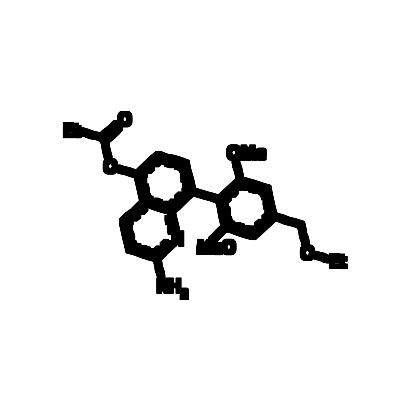 CCOCc1cc(OC)c(-c2ccc(OC(=O)CC)c3ccc(N)nc23)c(OC)c1